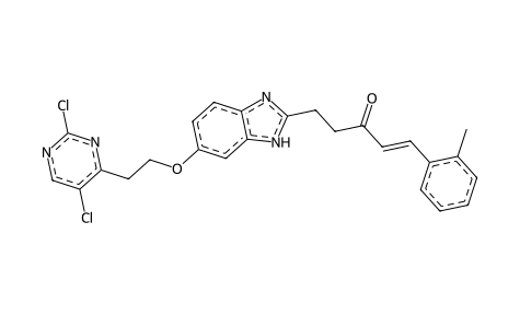 Cc1ccccc1/C=C/C(=O)CCc1nc2ccc(OCCc3nc(Cl)ncc3Cl)cc2[nH]1